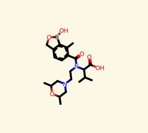 Cc1c(C(=O)N(CCN2CC(C)OC(C)C2)C(C(=O)O)C(C)C)ccc2c1B(O)OC2